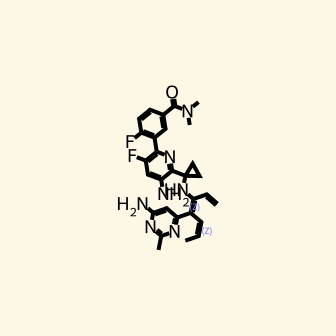 C=C/C(NC1(c2nc(-c3cc(C(=O)N(C)C)ccc3F)c(F)cc2N)CC1)=C(\C=C/C)c1cc(N)nc(C)n1